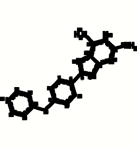 Nc1nc2nc(-c3ccc(Cc4ccncc4)cc3)nc-2c(N)[nH]1